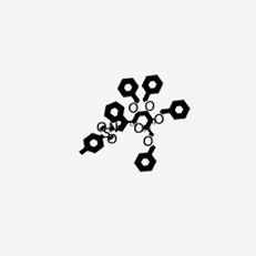 Cc1ccc(S(=O)(=O)n2cc([C@@H]3O[C@H](COCc4ccccc4)[C@@H](OCc4ccccc4)C(OCc4ccccc4)C3OCc3ccccc3)c3ccccc32)cc1